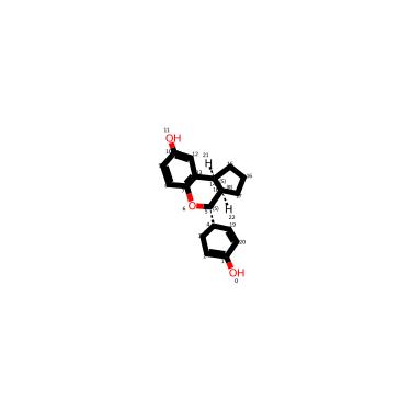 OC1=CCC([C@@H]2Oc3ccc(O)cc3[C@H]3CCC[C@H]32)C=C1